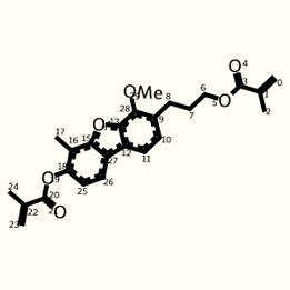 C=C(C)C(=O)OCCCc1ccc2c(oc3c(C)c(OC(=O)C(=C)C)ccc32)c1OC